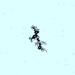 COc1cccc([C@@H](C)NCCOc2cc(-c3ccc(Cl)c(/C=C/C(=O)O)c3)cc(C(F)F)c2)c1